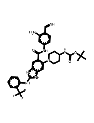 CC(C)(C)OC(=O)NC1CCN(c2cc3[nH]c(Nc4ccccc4C(F)(F)F)nc3cc2C(=O)Nc2ccc(C=N)c(N)c2)CC1